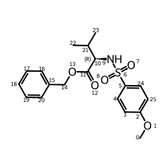 COc1ccc(S(=O)(=O)N[C@@H](C(=O)OCc2ccccc2)C(C)C)cc1